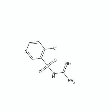 N=C(N)NS(=O)(=O)c1cnccc1Cl